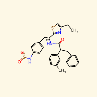 CCc1csc([C@H](Cc2ccc(N[SH](=O)=O)cc2)NC(=O)C(Cc2ccccc2)c2cccc(C)c2)n1